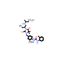 COc1cc(CN2C(=O)N(C(CNC(C)CC(=O)O)CC(C)C)C(=O)C2(C)C)ccc1NC(=O)Nc1ccccc1C